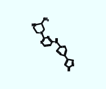 CC1CN(c2nccc(Nc3ccc(-c4cn[nH]c4)cc3)n2)CCN1